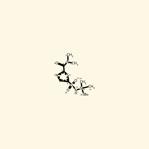 CN(C)C(=O)c1ncc(S(=O)(=O)N[Si](C)(C)C(C)(C)C)s1